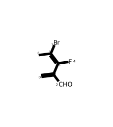 C=C(C=O)/C(F)=C(\C)Br